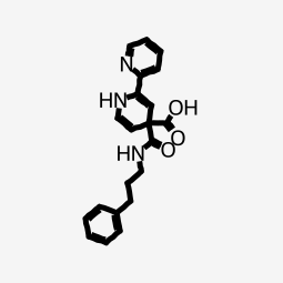 O=C(O)C1(C(=O)NCCCc2ccccc2)C=CNC(c2ccccn2)=C1